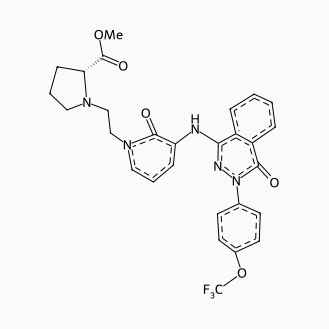 COC(=O)[C@H]1CCCN1CCn1cccc(Nc2nn(-c3ccc(OC(F)(F)F)cc3)c(=O)c3ccccc23)c1=O